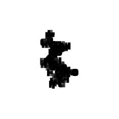 CCc1c(N2CCN(C(=O)OC(C)(C)C)[C@H]3CC[C@H]32)c(=O)n2nc(C3=CCOCC3)nc2n1CC(=O)Nc1ccc(C(F)(F)F)cc1Cl.CCc1c(N2CCN[C@H]3CC[C@H]32)c(=O)n2nc(C3=CCOCC3)nc2n1CC(=O)Nc1ccc(C(F)(F)F)cc1Cl